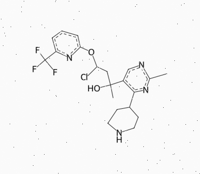 Cc1ncc(C(C)(O)CC(Cl)Oc2cccc(C(F)(F)F)n2)c(C2CCNCC2)n1